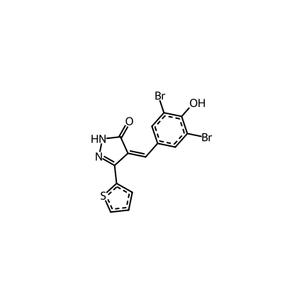 O=C1NN=C(c2cccs2)C1=Cc1cc(Br)c(O)c(Br)c1